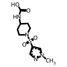 Cn1cc(S(=O)(=O)N2CCC(NC(=O)O)CC2)cn1